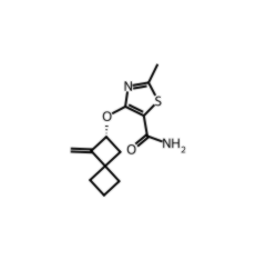 C=C1[C@H](Oc2nc(C)sc2C(N)=O)CC12CCC2